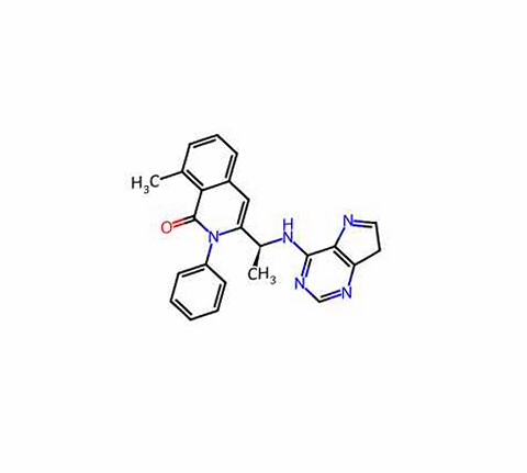 Cc1cccc2cc([C@H](C)Nc3ncnc4c3N=CC4)n(-c3ccccc3)c(=O)c12